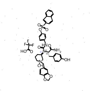 C[N+]1(Cc2ccc3c(c2)OCO3)CCC/C(=[N+](\C(=O)Nc2ccc(OS(=O)(=O)c3ccc4ccccc4c3)cc2)[C@@H](Cc2ccc(O)cc2)C(N)=O)C1.O=C(O)C(F)(F)F